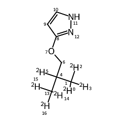 [2H]C([2H])([2H])C([2H])(COc1cc[nH]n1)C([2H])([2H])[2H]